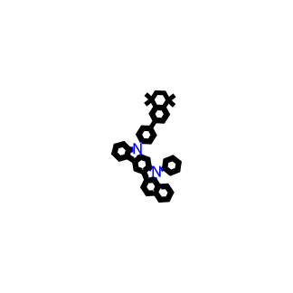 CC1(C)CCC(C)(C)c2cc(-c3ccc(-n4c5ccccc5c5cc6c7ccc8ccccc8c7n(-c7ccccc7)c6cc54)cc3)ccc21